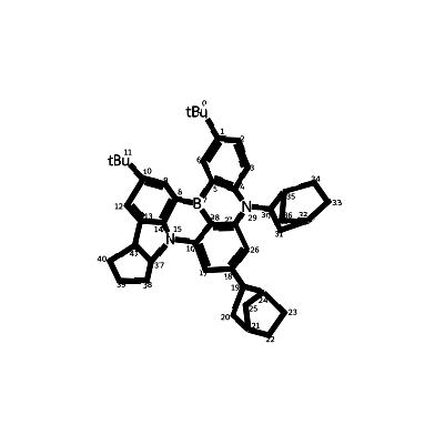 CC(C)(C)c1ccc2c(c1)B1c3cc(C(C)(C)C)cc4c3N(c3cc(C5CC6CCC5C6)cc(c31)N2C1CC2CCC1C2)C1CCCC41